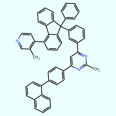 Cc1nc(-c2ccc(-c3cccc4ccccc34)cc2)cc(-c2cccc(C3(c4ccccc4)c4ccccc4-c4c(-c5ccncc5C)cccc43)c2)n1